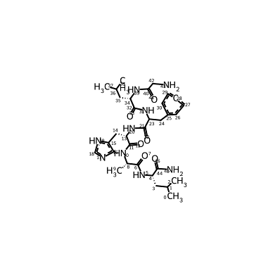 CC(C)C[C@H](NC(=O)[C@H](C)NC(=O)[C@H](Cc1cnc[nH]1)NC(=O)C(Cc1ccccc1)NC(=O)[C@H](CC(C)C)NC(=O)CN)C(N)=O